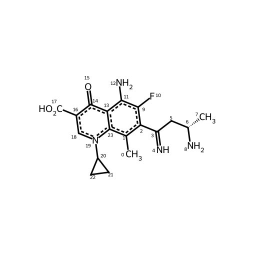 Cc1c(C(=N)C[C@H](C)N)c(F)c(N)c2c(=O)c(C(=O)O)cn(C3CC3)c12